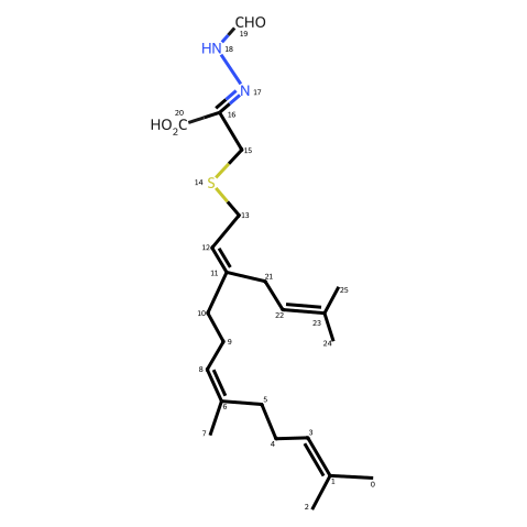 CC(C)=CCCC(C)=CCCC(=CCSC/C(=N/NC=O)C(=O)O)CC=C(C)C